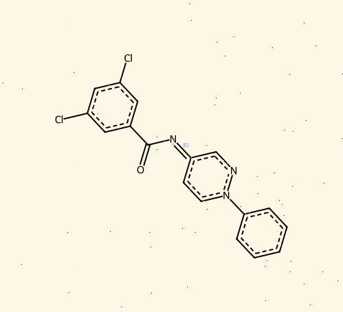 O=C(/N=c1\ccn(-c2ccccc2)nc1)c1cc(Cl)cc(Cl)c1